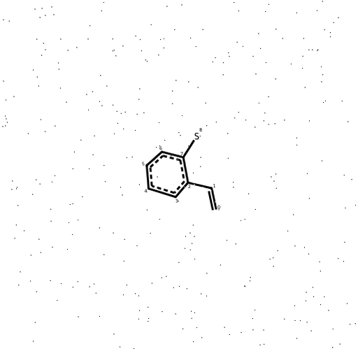 [CH]=Cc1ccccc1[S]